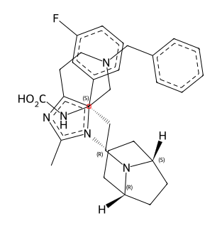 Cc1nc2c(n1[C@H]1C[C@H]3CC[C@@H](C1)N3CC[C@H](NC(=O)O)c1cccc(F)c1)CN(Cc1ccccc1)CC2